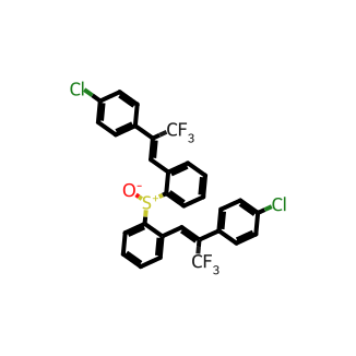 [O-][S+](c1ccccc1/C=C(/c1ccc(Cl)cc1)C(F)(F)F)c1ccccc1/C=C(/c1ccc(Cl)cc1)C(F)(F)F